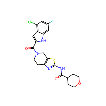 O=C(Nc1nc2c(s1)CN(C(=O)c1cc3c(Cl)cc(F)cc3[nH]1)CC2)C1CCOCC1